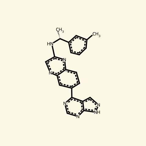 Cc1cccc([C@@H](C)Nc2cnc3cc(-c4ncnc5[nH]ncc45)ccc3n2)c1